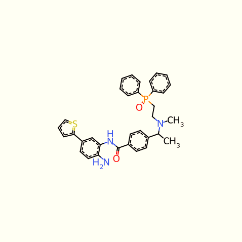 CC(c1ccc(C(=O)Nc2cc(-c3cccs3)ccc2N)cc1)N(C)CCP(=O)(c1ccccc1)c1ccccc1